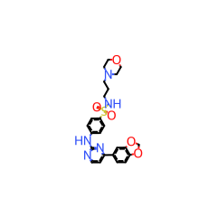 O=S(=O)(NCCCN1CCOCC1)c1ccc(Nc2nccc(-c3ccc4c(c3)OCO4)n2)cc1